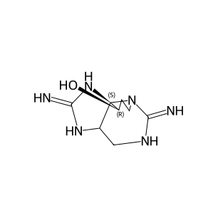 N=C1NC2CNC(=N)N3CC[C@@H](O)[C@]23N1